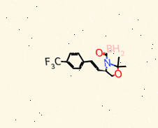 BC(=O)N1[C@H](/C=C/c2ccc(C(F)(F)F)cc2)COC1(C)C